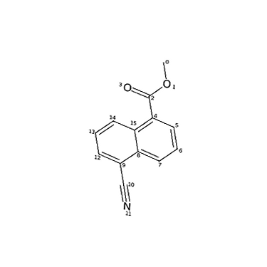 COC(=O)c1cccc2c(C#N)cccc12